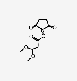 COC(CC(=O)ON1C(=O)CCC1=O)OC